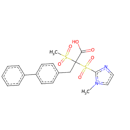 Cn1ccnc1S(=O)(=O)C(Cc1ccc(-c2ccccc2)cc1)(C(=O)O)S(C)(=O)=O